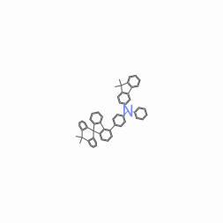 CC1(C)c2ccccc2-c2cc(N(c3ccccc3)c3ccc(-c4cccc5c4-c4ccccc4C54c5ccccc5C(C)(C)c5ccccc54)cc3)ccc21